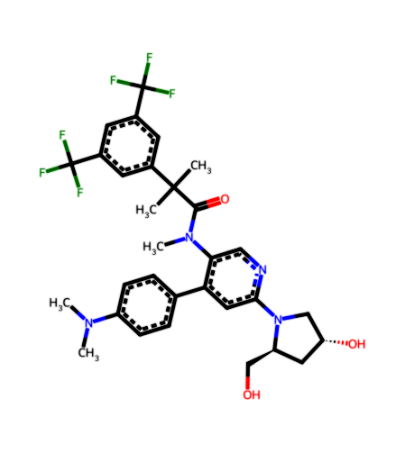 CN(C)c1ccc(-c2cc(N3C[C@H](O)C[C@H]3CO)ncc2N(C)C(=O)C(C)(C)c2cc(C(F)(F)F)cc(C(F)(F)F)c2)cc1